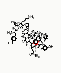 C[C@@H](O)[C@H](NC(=O)[C@@H]1CCCN1C(=O)[C@H](CCCCN)NC(=O)[C@H](CO)NC(=O)[C@@H](N)Cc1ccc(O)cc1)C(=O)N[C@@H](CC(=O)O)C(=O)N[C@@H](CCCNC(=N)N)C(=O)N[C@@H](CCC(N)=O)C(=O)N[C@@H](Cc1ccc(O)cc1)C(=O)N[C@@H](Cc1c[nH]cn1)C(=O)N[C@@H](Cc1ccccc1)C(=O)O